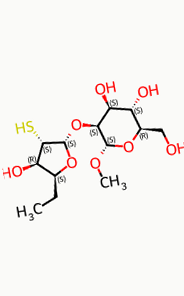 CC[C@@H]1O[C@@H](O[C@@H]2[C@@H](OC)O[C@H](CO)[C@@H](O)[C@@H]2O)[C@@H](S)[C@@H]1O